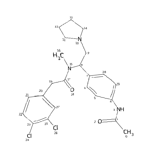 CC(=O)Nc1ccc(C(CN2CCCC2)N(C)C(=O)Cc2ccc(Cl)c(Cl)c2)cc1